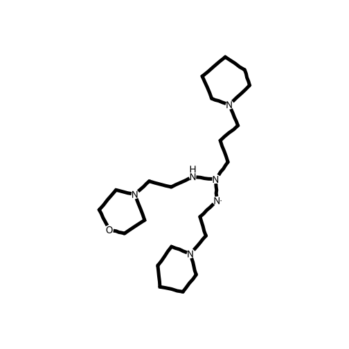 C1CCN(CCCN([N]CCN2CCCCC2)NCCN2CCOCC2)CC1